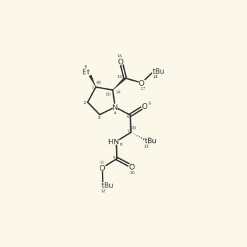 CC[C@@H]1CCN(C(=O)[C@@H](NC(=O)OC(C)(C)C)C(C)(C)C)[C@@H]1C(=O)OC(C)(C)C